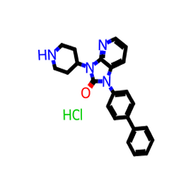 Cl.O=c1n(-c2ccc(-c3ccccc3)cc2)c2cccnc2n1C1CCNCC1